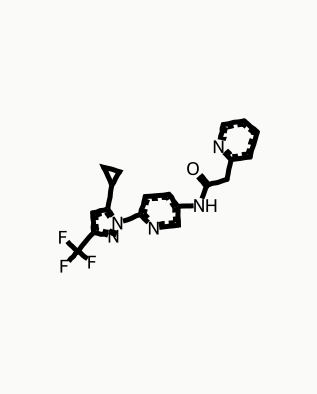 O=C(Cc1ccccn1)Nc1ccc(-n2nc(C(F)(F)F)cc2C2CC2)nc1